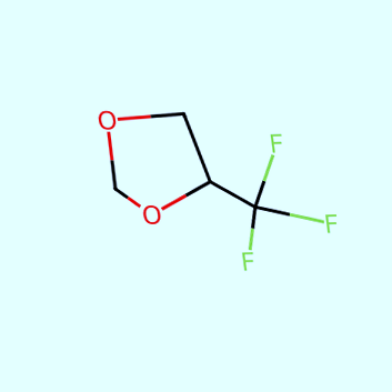 FC(F)(F)C1COCO1